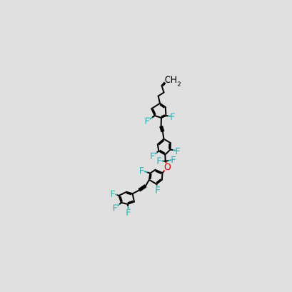 C=CCCc1cc(F)c(C#Cc2cc(F)c(C(F)(F)Oc3cc(F)c(C#Cc4cc(F)c(F)c(F)c4)c(F)c3)c(F)c2)c(F)c1